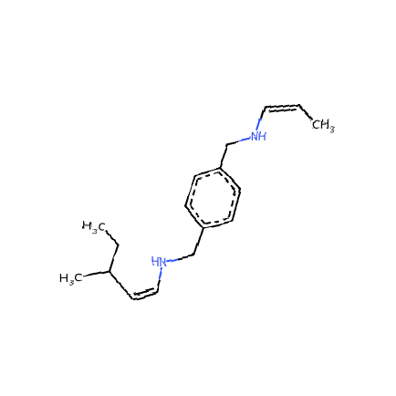 C/C=C\NCc1ccc(CN/C=C\C(C)CC)cc1